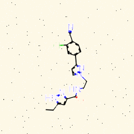 CCc1cc(C(=O)N[C@@H](C)Cn2ccc(-c3ccc(C#N)c(Cl)c3)n2)n[nH]1